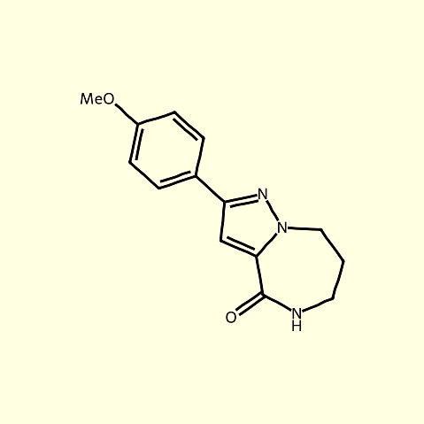 COc1ccc(-c2cc3n(n2)CCCNC3=O)cc1